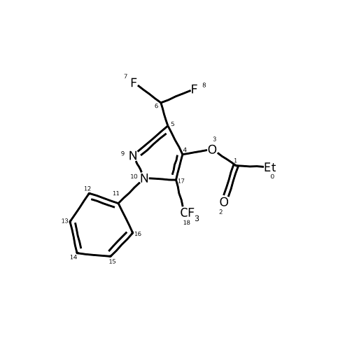 CCC(=O)Oc1c(C(F)F)nn(-c2ccccc2)c1C(F)(F)F